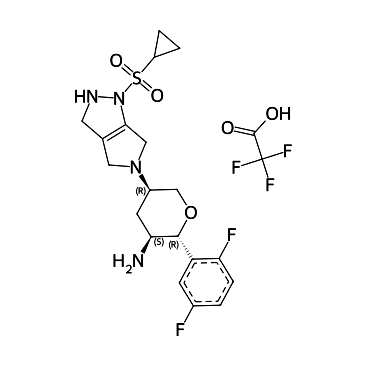 N[C@H]1C[C@@H](N2CC3=C(C2)N(S(=O)(=O)C2CC2)NC3)CO[C@@H]1c1cc(F)ccc1F.O=C(O)C(F)(F)F